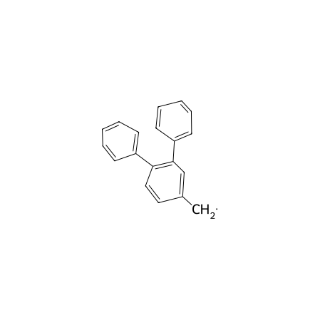 [CH2]c1ccc(-c2ccccc2)c(-c2ccccc2)c1